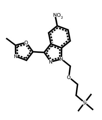 Cc1ncc(-c2nn(COCC[Si](C)(C)C)c3ccc([N+](=O)[O-])cc23)o1